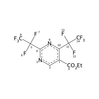 CCOC(=O)c1cnc(C(F)(F)C(F)(F)F)nc1C(F)(F)C(F)(F)F